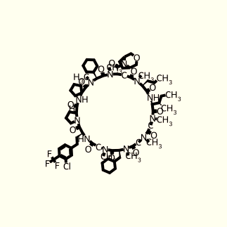 CCC[C@H]1C(=O)N[C@@H]([C@@H](C)CC)C(=O)N(C)CC(=O)N(C)CC(=O)N(C)[C@@H](CC2CCCCC2)C(=O)N(C)CC(=O)N[C@@H](CCc2ccc(C(F)(F)F)c(Cl)c2)C(=O)N2CCC[C@H]2C(=O)NC2(CCCC2)C(=O)N(C)[C@@H](C2CCCCC2)C(=O)N(C)[C@H](C(=O)N2C3CCC2COC3)CC(=O)N1C